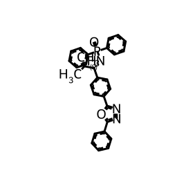 CC(C)[C@H](NP(=O)(c1ccccc1)c1ccccc1)c1ccc(-c2nnc(-c3ccccc3)o2)cc1